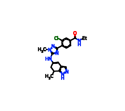 CCNC(=O)c1ccc(-c2nc(NC3=Cc4cn[nH]c4C(C)C3)n(C)n2)c(Cl)c1